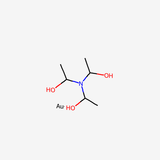 CC(O)N(C(C)O)C(C)O.[Au]